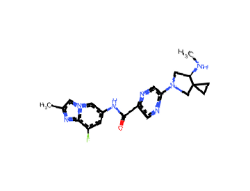 CN[C@@H]1CN(c2cnc(C(=O)Nc3cc(F)c4nc(C)cn4c3)cn2)CC12CC2